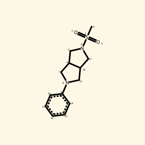 CS(=O)(=O)N1CC2CN(c3ccccc3)CC2C1